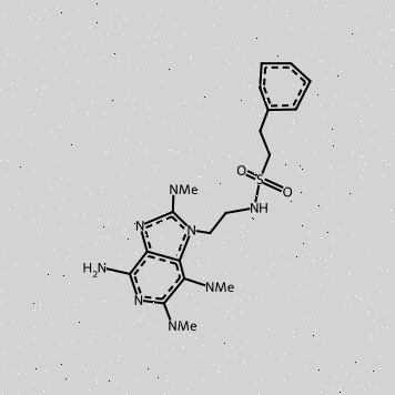 CNc1nc(N)c2nc(NC)n(CCNS(=O)(=O)CCc3ccccc3)c2c1NC